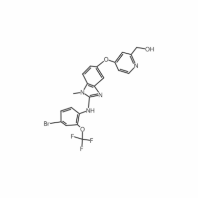 Cn1c(Nc2ccc(Br)cc2OC(F)(F)F)nc2cc(Oc3ccnc(CO)c3)ccc21